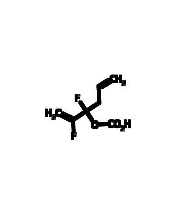 C=CCC(F)(OC(=O)O)C(=C)F